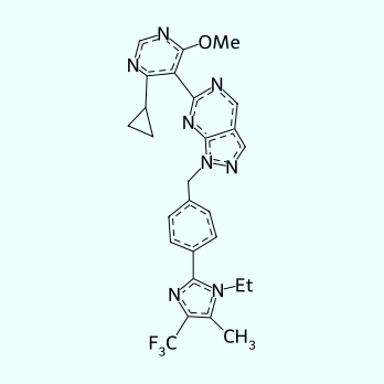 CCn1c(-c2ccc(Cn3ncc4cnc(-c5c(OC)ncnc5C5CC5)nc43)cc2)nc(C(F)(F)F)c1C